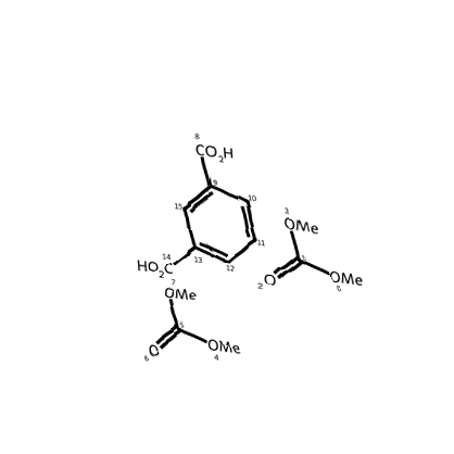 COC(=O)OC.COC(=O)OC.O=C(O)c1cccc(C(=O)O)c1